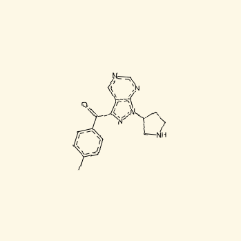 Cc1ccc(C(=O)c2nn(C3CCNC3)c3ncncc23)cc1